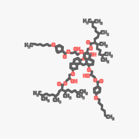 CCCCCCCOc1ccc(C(=O)OCC(O)COc2ccc3ccc(OCC(O)COC(=O)c4ccc(OCCCCCCC)cc4)c(Cc4c(OCC(O)COC(=O)C(CCC(C)CCCC(C)C)C(C)CCCC(C)C)ccc5ccc(OCC(O)COC(=O)C(CCC(C)CCCC(C)C)C(C)CCCC(C)C)cc45)c3c2)cc1